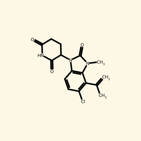 C=C(C)c1c(Cl)ccc2c1n(C)c(=O)n2C1CCC(=O)NC1=O